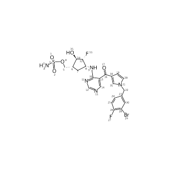 NS(=O)(=O)OC[C@H]1C[C@@H](Nc2ncncc2C(=O)c2ccn(Cc3ccc(F)c(Br)c3)c2)[C@@H](F)[C@@H]1O